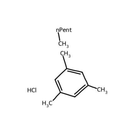 CCCCCC.Cc1cc(C)cc(C)c1.Cl